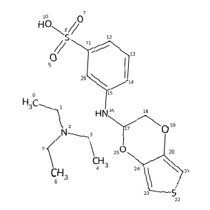 CCN(CC)CC.O=S(=O)(O)c1cccc(NC2COc3cscc3O2)c1